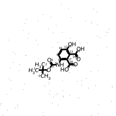 CC(C)(C)OC(=O)Nc1ccc(O)c(C(=O)O)c1C(=O)O